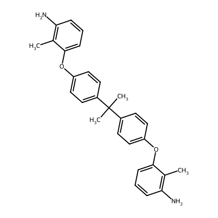 Cc1c(N)cccc1Oc1ccc(C(C)(C)c2ccc(Oc3cccc(N)c3C)cc2)cc1